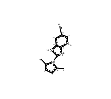 Cc1ccc(C)n1-c1nc2ncc(Br)cc2s1